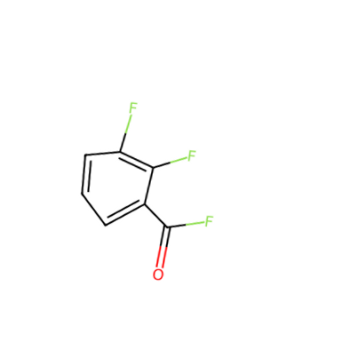 O=C(F)c1cccc(F)c1F